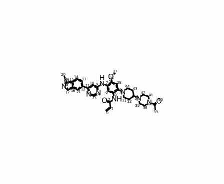 C=CC(=O)Nc1cc(Nc2cc(-c3ccc4c(cnn4C)c3)ncn2)c(OC)cc1N1CCC(N2CCN(C(C)=O)CC2)CC1